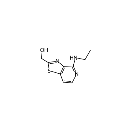 CCNc1nccc2sc(CO)nc12